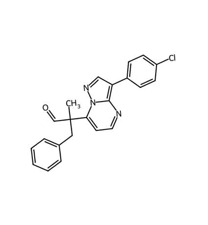 CC(C=O)(Cc1ccccc1)c1ccnc2c(-c3ccc(Cl)cc3)cnn12